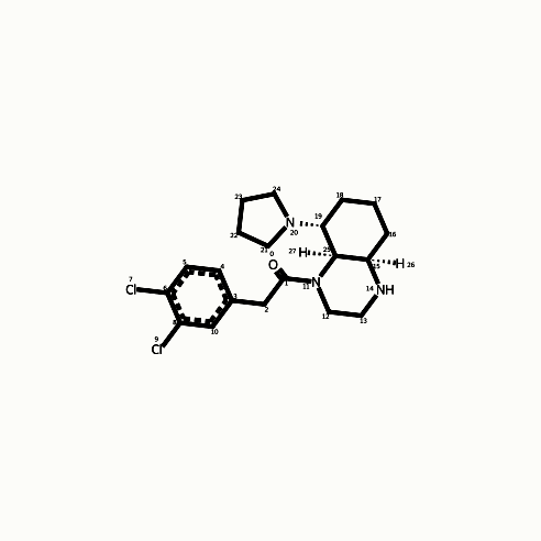 O=C(Cc1ccc(Cl)c(Cl)c1)N1CCN[C@@H]2CCC[C@@H](N3CCCC3)[C@@H]21